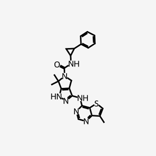 Cc1csc2c(Nc3n[nH]c4c3CN(C(=O)NC3CC3c3ccccc3)C4(C)C)ncnc12